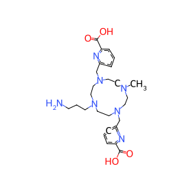 CN1CCN(Cc2cccc(C(=O)O)n2)CCN(CCCN)CCN(Cc2cccc(C(=O)O)n2)CC1